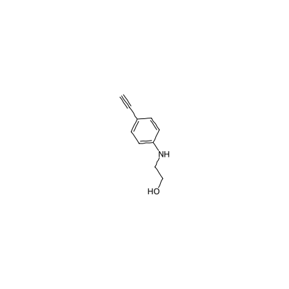 C#Cc1ccc(NCCO)cc1